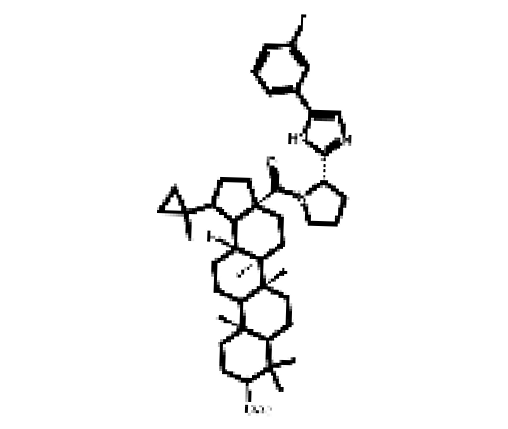 CC(=O)O[C@H]1CC[C@@]2(C)C(CC[C@]3(C)C2CC[C@@H]2C4C(C5(C)CC5)CC[C@]4(C(=O)N4CCC[C@H]4c4ncc(-c5cccc(F)c5)[nH]4)CC[C@]23C)C1(C)C